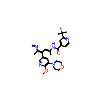 C=N/C(C)=C(\C=C(/C)NC(=O)c1ccnc(C(C)(C)F)c1)c1cnc(OC)c(N2CCOCC2)c1